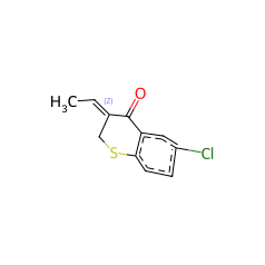 C/C=C1\CSc2ccc(Cl)cc2C1=O